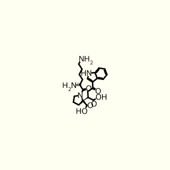 NCCCC[C@H](N)C(=O)N1CCC[C@]1(C(=O)O)C(CC(=O)c1c[nH]c2ccccc12)C(=O)O